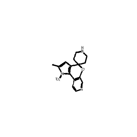 CCn1c(C)cc2c1-c1ccncc1OC21CCNCC1